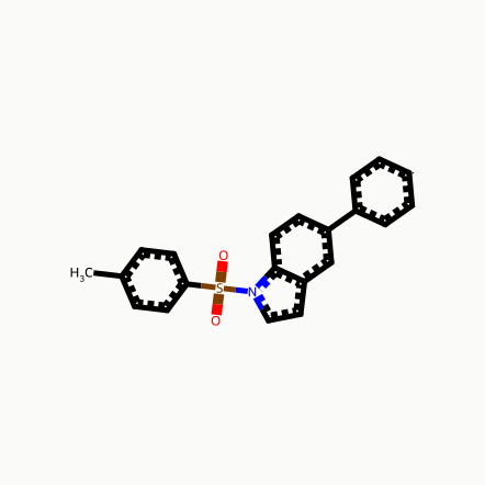 Cc1ccc(S(=O)(=O)n2ccc3cc(-c4cc[c]cc4)ccc32)cc1